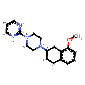 COc1cccc2c1CC(N1CCN(c3ncccn3)CC1)CC2